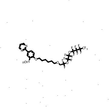 CCCCCCCCc1cc(-c2ncccn2)ccc1OCCCCCCOCC(F)(F)OC(F)(F)C(F)(F)OC(F)(F)C(F)(F)C(F)(F)C(F)(F)F